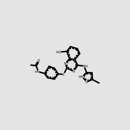 CC(=O)Nc1ccc(Sc2nc(Nc3cc(C)n[nH]3)c3cccc(O)c3n2)cc1